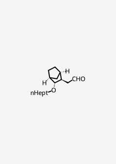 CCCCCCCO[C@@H]1[C@H]2CC[C@H](C2)[C@H]1CC=O